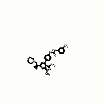 Cn1nc(N)c2c(-c3ccc(NC(=O)Nc4cccc(C(F)(F)F)c4)cc3)cc(C3(CN4CCOCC4)CC3)nc21